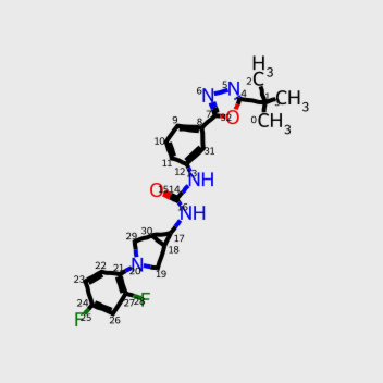 CC(C)(C)c1nnc(-c2cccc(NC(=O)NC3C4CN(c5ccc(F)cc5F)CC43)c2)o1